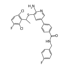 CC(Sc1cc(-c2ccc(C(=O)NCc3ccc(F)cc3)cc2)cnc1N)c1c(Cl)ccc(F)c1Cl